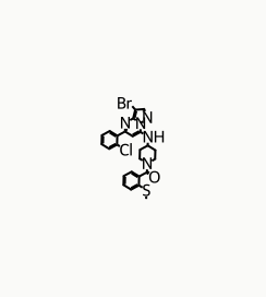 CSc1ccccc1C(=O)N1CCC(Nc2cc(-c3ccccc3Cl)nc3c(Br)cnn23)CC1